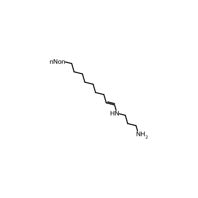 CCCCCCCCCCCCCCCCC=CNCCCN